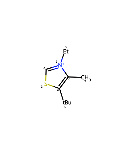 CC[n+]1csc(C(C)(C)C)c1C